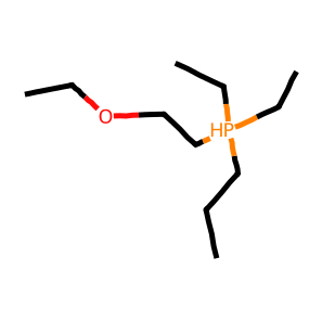 CCC[PH](CC)(CC)CCOCC